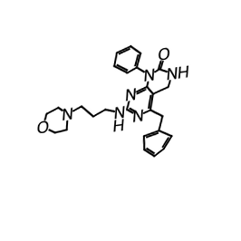 O=C1NCc2c(Cc3ccccc3)nc(NCCCN3CCOCC3)nc2N1c1ccccc1